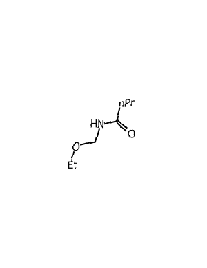 CCCC(=O)NCOCC